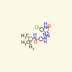 CC1CC(NC(=O)c2ccc(Nc3ncc4c(n3)-c3ccc(Cl)cc3NC(=O)C4)cc2)CC(C)(C)C1